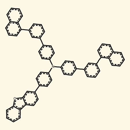 c1cc(-c2ccc(N(c3ccc(-c4cccc(-c5cccc6ccccc56)c4)cc3)c3ccc(-c4ccc5c(c4)oc4ccccc45)cc3)cc2)cc(-c2cccc3ccccc23)c1